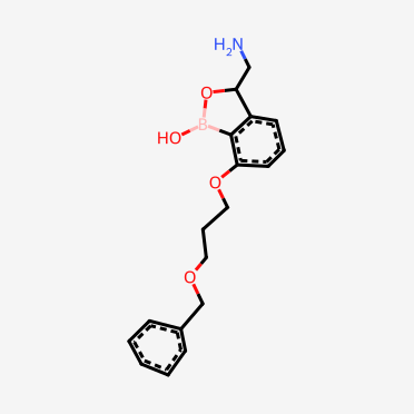 NCC1OB(O)c2c(OCCCOCc3ccccc3)cccc21